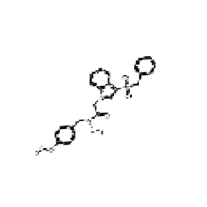 COc1ccc(CN(C)C(=O)Cn2cc(S(=O)(=O)Cc3ccccc3)c3ccccc32)cc1